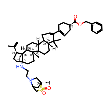 C=C(C)[C@@H]1CC[C@]2(NCCN3C[C@@H]4CC3CS4(=O)=O)CC[C@]3(C)[C@H](CC[C@@H]4[C@@]5(C)CC=C(C6=CC[C@H](C(=O)OCc7ccccc7)CC6)C(C)(C)[C@@H]5CC[C@]43C)[C@@H]12